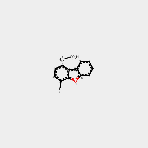 CC(=O)O.[Li][c]1cccc2c1oc1ccccc12